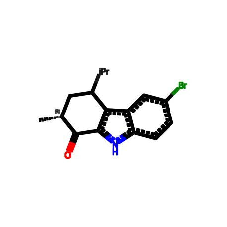 CC(C)C1C[C@@H](C)C(=O)c2[nH]c3ccc(Br)cc3c21